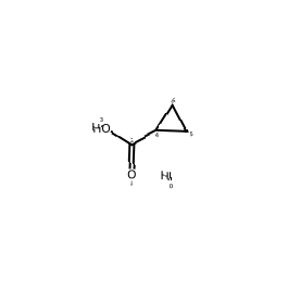 I.O=C(O)C1CC1